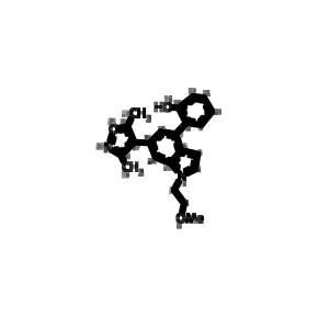 COCCn1ccc2c(-c3ccccc3O)cc(-c3c(C)noc3C)cc21